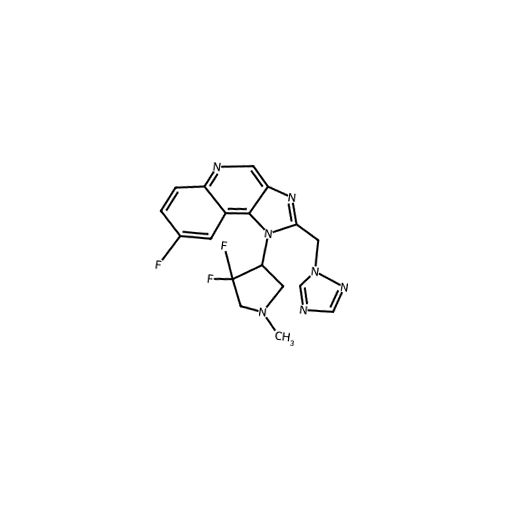 CN1CC(n2c(Cn3cncn3)nc3cnc4ccc(F)cc4c32)C(F)(F)C1